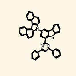 c1ccc(-c2cc(-c3ccccc3)nc(-c3cc(-n4c5ccc6ccccc6c5c5c6ccccc6ccc54)cc4c3sc3ccccc34)n2)cc1